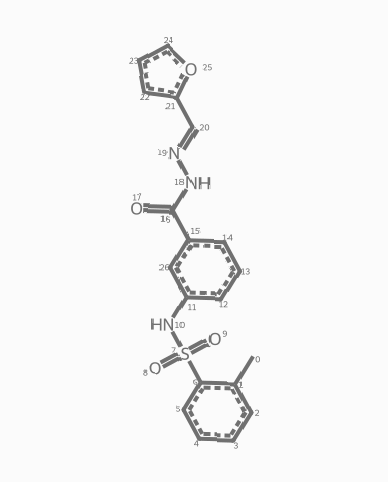 Cc1ccccc1S(=O)(=O)Nc1cccc(C(=O)N/N=C/c2ccco2)c1